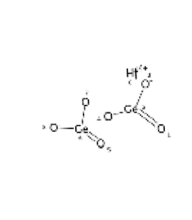 [Hf+4].[O]=[Ge]([O-])[O-].[O]=[Ge]([O-])[O-]